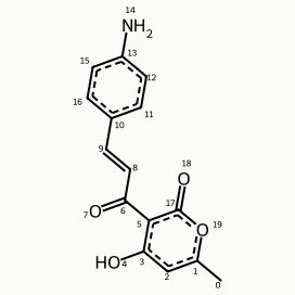 Cc1cc(O)c(C(=O)C=Cc2ccc(N)cc2)c(=O)o1